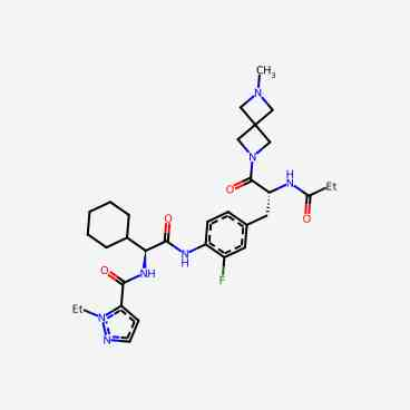 CCC(=O)N[C@H](Cc1ccc(NC(=O)[C@@H](NC(=O)c2ccnn2CC)C2CCCCC2)c(F)c1)C(=O)N1CC2(CN(C)C2)C1